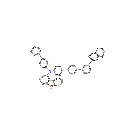 c1ccc(-c2ccc(N(c3ccc(-c4ccc(-c5cccc(-c6ccc7ccccc7c6)c5)cc4)cc3)c3cccc4sc5ccccc5c34)cc2)cc1